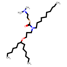 CCCCCCCCCCN(CCCOC(CCCCCC)CCCCCC)C(=O)SCCN(C)C